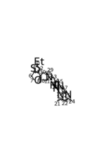 CCc1cc2c(s1)CCO[C@@]21CCN(Cc2cn(Cc3nc(C)cc(C)n3)nn2)[C@@H](C)C1